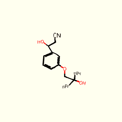 CCCC(O)(CCC)COc1cccc(C(O)CC#N)c1